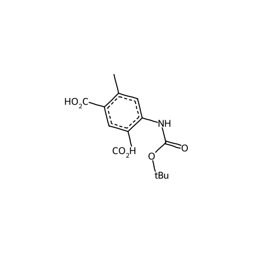 Cc1cc(NC(=O)OC(C)(C)C)c(C(=O)O)cc1C(=O)O